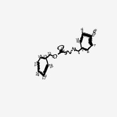 O=C(N=NCc1ccccc1)OCc1ccccc1